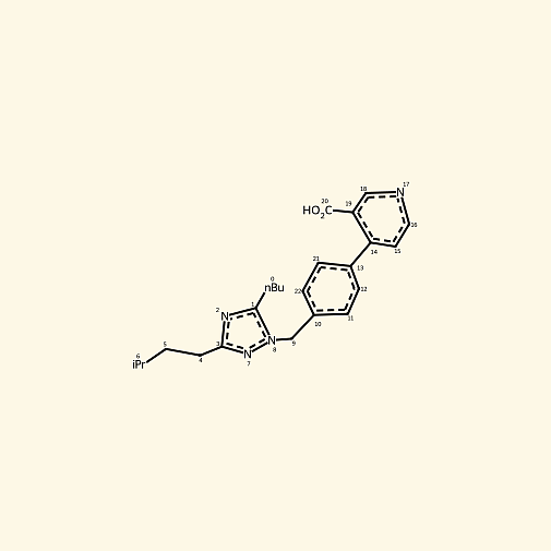 CCCCc1nc(CCC(C)C)nn1Cc1ccc(-c2ccncc2C(=O)O)cc1